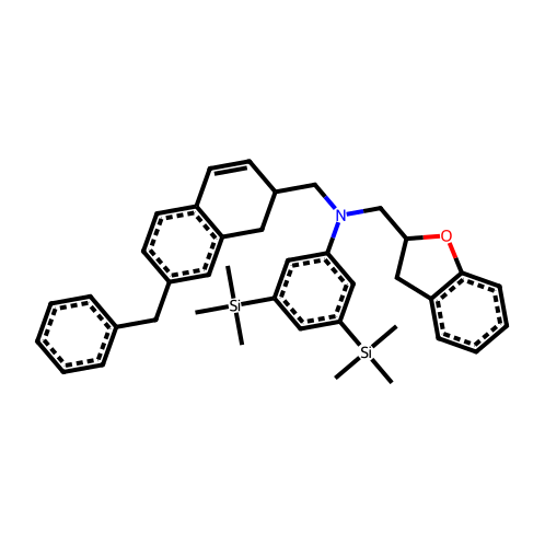 C[Si](C)(C)c1cc(N(CC2C=Cc3ccc(Cc4ccccc4)cc3C2)CC2Cc3ccccc3O2)cc([Si](C)(C)C)c1